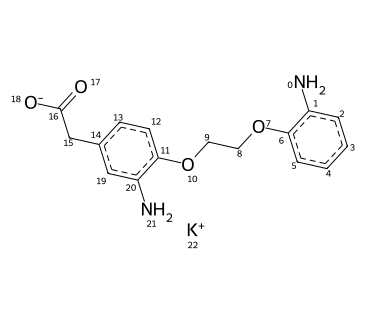 Nc1ccccc1OCCOc1ccc(CC(=O)[O-])cc1N.[K+]